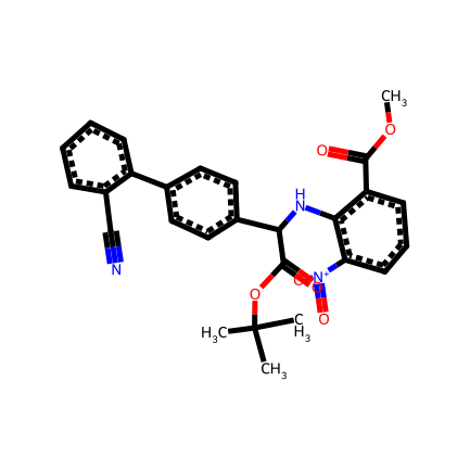 COC(=O)c1cccc([N+](=O)[O-])c1NC(C(=O)OC(C)(C)C)c1ccc(-c2ccccc2C#N)cc1